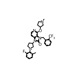 Cc1cccc(F)c1N1CCC(n2c(=O)n(Cc3ccccc3C(F)(F)F)c3c(OC4CCN(C)C4)nccc32)C1